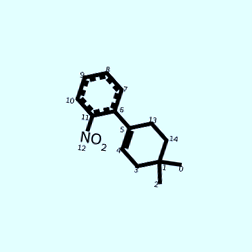 CC1(C)CC=C(c2ccccc2[N+](=O)[O-])CC1